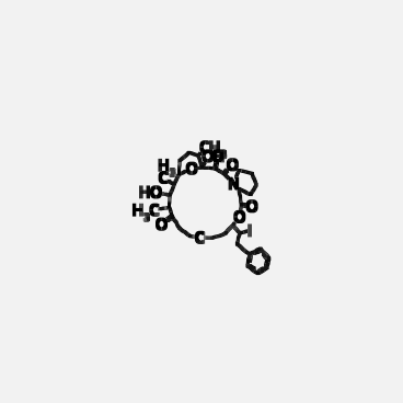 CC1C(=O)CCCCCC(C(I)Cc2ccccc2)OC(=O)C2CCCCN2C(=O)C(=O)C2(O)OC(CCC2C)C(C)C1O